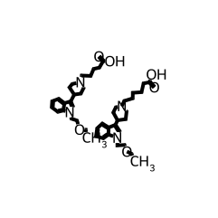 CCOCCn1cc(C2CCN(CCCCC(=O)O)CC2)c2ccccc21.CCOCCn1cc(C2CCN(CCCCCC(=O)O)CC2)c2ccccc21